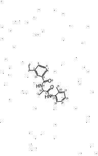 CCc1cccc(C(=O)NC(C)C(=O)Nc2ccccc2C)c1